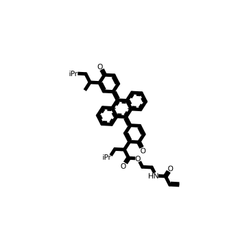 C=CC(=O)NCCOC(=O)C(CC(C)C)C1=CC(=c2c3ccccc3c(=C3C=CC(=O)C(C(C)CC(C)C)=C3)c3ccccc23)C=CC1=O